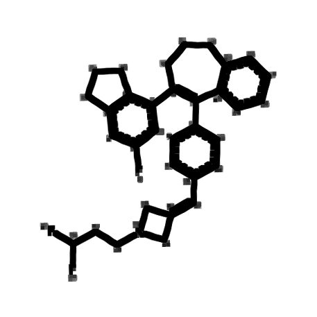 Fc1cc2c(c(C3=C(c4ccc(C=C5CN(CCC(F)F)C5)cc4)c4ccccc4CCC3)c1)CCC2